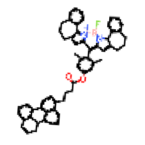 Cc1cc(OC(=O)CCCc2ccc3c4c(cccc24)C2CC=Cc4cccc-3c42)cc(C)c1/C(=C1\C=C2CCCc3ccccc3C2N1BF)c1cc2c([nH]1)-c1ccccc1CCC2